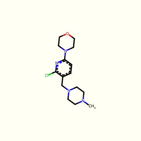 CN1CCN(Cc2[c]cc(N3CCOCC3)nc2Cl)CC1